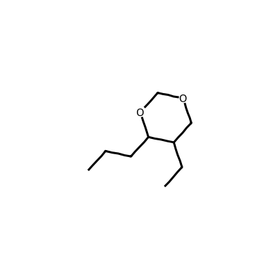 CCCC1OCOCC1CC